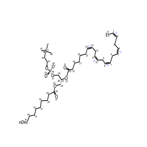 CC/C=C\C/C=C\C/C=C\C/C=C\C/C=C\CCCCCC(=O)O[C@H](COC(=O)CCCCCCCCCCCCCCCCC)COP(=O)([O-])OCC[N+](C)(C)C